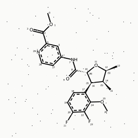 COC(=O)c1cc(NC(=O)[C@@H]2O[C@@H](C)[C@@H](C)[C@H]2c2ccc(F)c(F)c2OC)ccn1